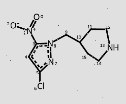 O=[N+]([O-])c1cc(Cl)nn1CC1CCNCC1